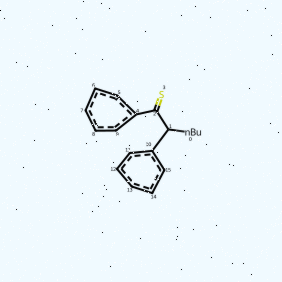 CCCCC(C(=S)c1ccccc1)c1ccccc1